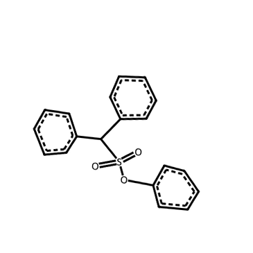 O=S(=O)(Oc1ccccc1)C(c1ccccc1)c1ccccc1